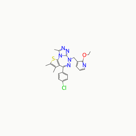 CCOc1ncccc1CN1N=C(c2ccc(Cl)cc2)c2c(sc(C)c2C)-n2c(C)nnc21